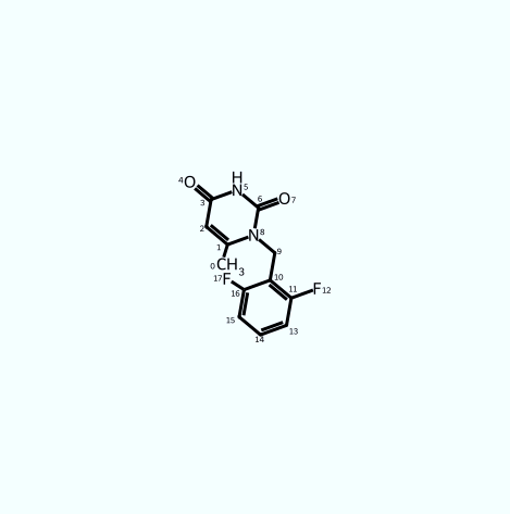 Cc1cc(=O)[nH]c(=O)n1Cc1c(F)cccc1F